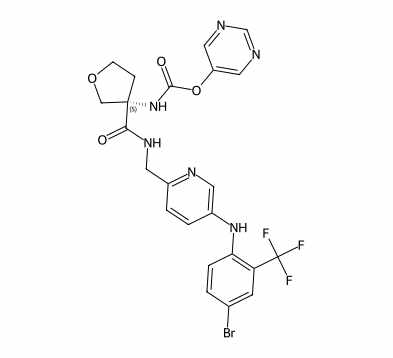 O=C(N[C@@]1(C(=O)NCc2ccc(Nc3ccc(Br)cc3C(F)(F)F)cn2)CCOC1)Oc1cncnc1